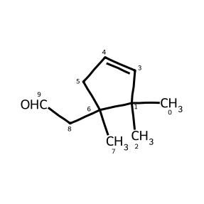 CC1(C)C=CCC1(C)CC=O